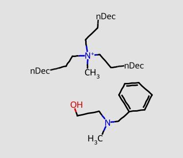 CCCCCCCCCCCC[N+](C)(CCCCCCCCCCCC)CCCCCCCCCCCC.CN(CCO)Cc1ccccc1